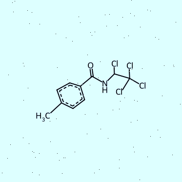 Cc1ccc(C(=O)NC(Cl)C(Cl)(Cl)Cl)cc1